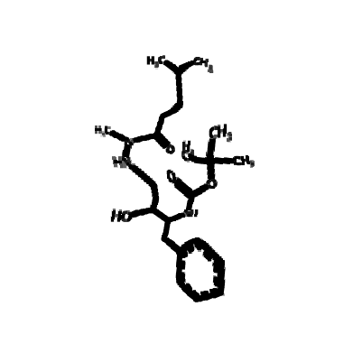 CC(C)CCC(=O)N(C)NCC(O)C(Cc1ccccc1)NC(=O)OC(C)(C)C